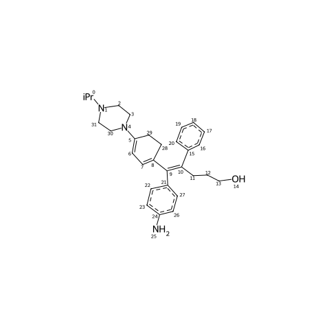 CC(C)N1CCN(C2=CC=C(/C(=C(/CCCO)c3ccccc3)c3ccc(N)cc3)CC2)CC1